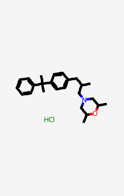 CC(Cc1ccc(C(C)(C)c2ccccc2)cc1)CN1CC(C)OC(C)C1.Cl